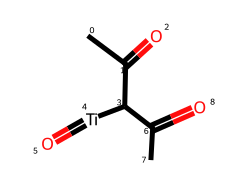 CC(=O)[CH]([Ti]=[O])C(C)=O